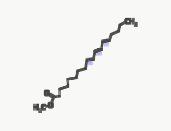 CCCC/C=C/C=C/C=C/CCCCCCCC(=O)OC